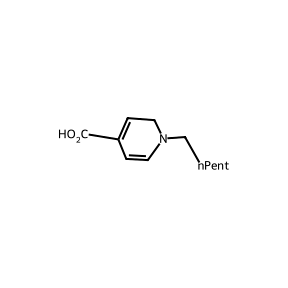 CCCCCCN1C=CC(C(=O)O)=CC1